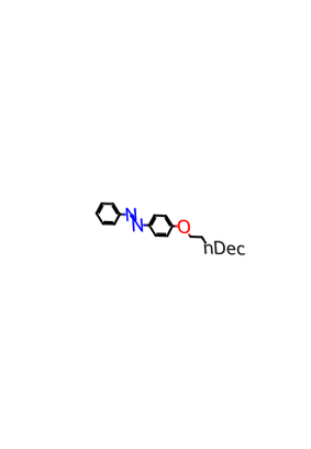 CCCCCCCCCCCCOc1ccc(N=Nc2ccccc2)cc1